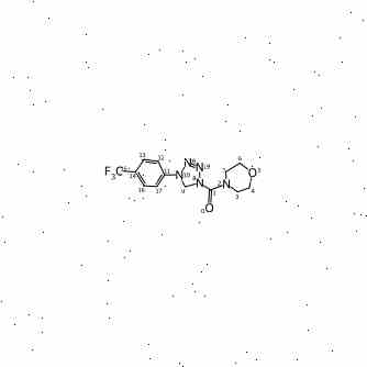 O=C(N1CCOCC1)N1CN(c2ccc(C(F)(F)F)cc2)N=N1